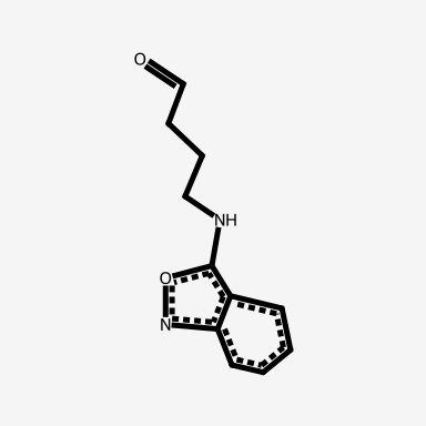 O=CCCCNc1onc2ccccc12